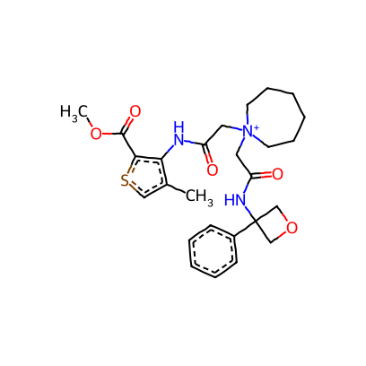 COC(=O)c1scc(C)c1NC(=O)C[N+]1(CC(=O)NC2(c3ccccc3)COC2)CCCCCC1